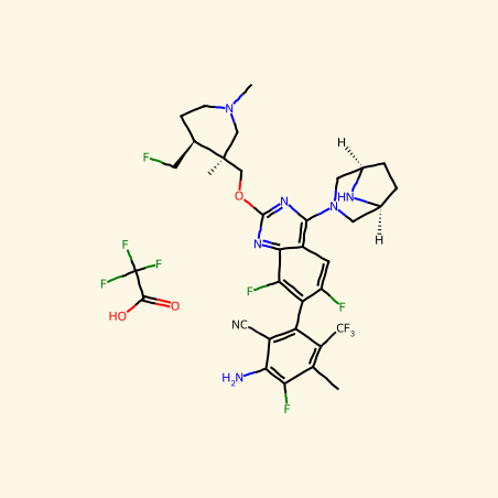 Cc1c(F)c(N)c(C#N)c(-c2c(F)cc3c(N4C[C@H]5CC[C@@H](C4)N5)nc(OC[C@]4(C)CN(C)CC[C@@H]4CF)nc3c2F)c1C(F)(F)F.O=C(O)C(F)(F)F